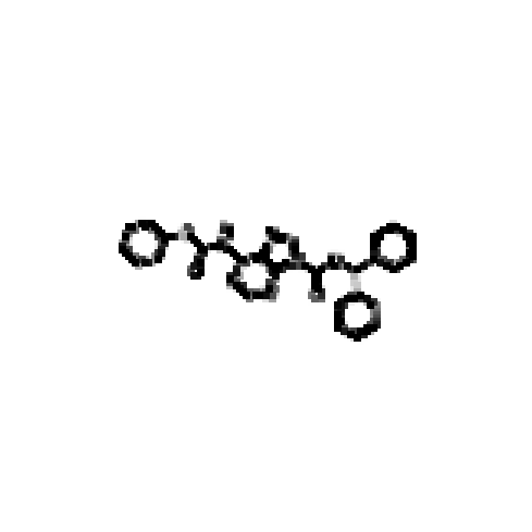 O=C(Nc1ncnc2c1ncn2C(=O)OC(c1ccccc1)c1ccccc1)Oc1ccccc1